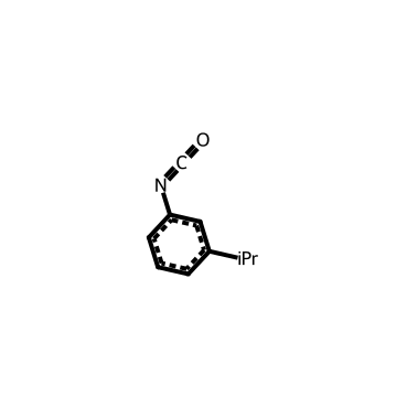 CC(C)c1cccc(N=C=O)c1